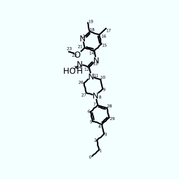 CCCCc1ccc(N2CCN(C(=Nc3cc(C)c(C)nc3OC)NO)CC2)cc1